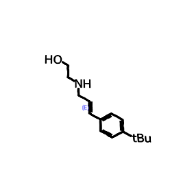 CC(C)(C)c1ccc(/C=C/CNCCO)cc1